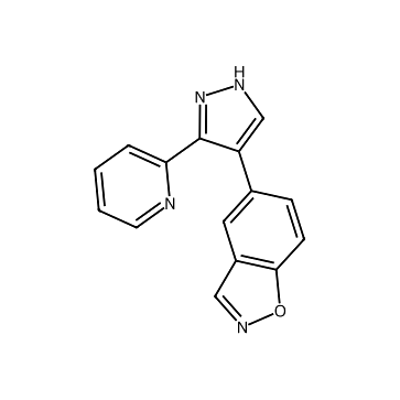 c1ccc(-c2n[nH]cc2-c2ccc3oncc3c2)nc1